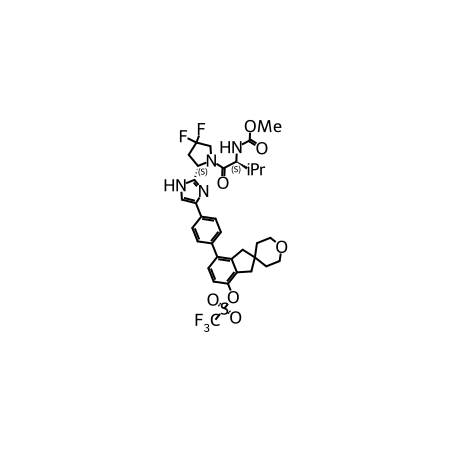 COC(=O)N[C@H](C(=O)N1CC(F)(F)C[C@H]1c1nc(-c2ccc(-c3ccc(OS(=O)(=O)C(F)(F)F)c4c3CC3(CCOCC3)C4)cc2)c[nH]1)C(C)C